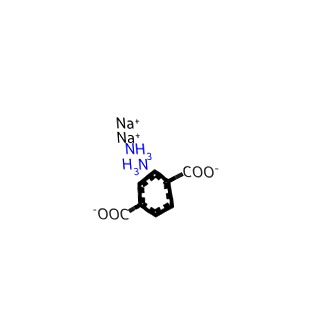 N.N.O=C([O-])c1ccc(C(=O)[O-])cc1.[Na+].[Na+]